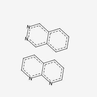 c1ccc2cnncc2c1.c1cnc2ncccc2c1